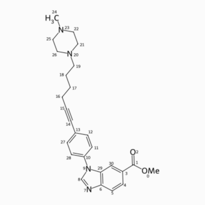 COC(=O)c1ccc2ncn(-c3ccc(C#CCCCCN4CCN(C)CC4)cc3)c2c1